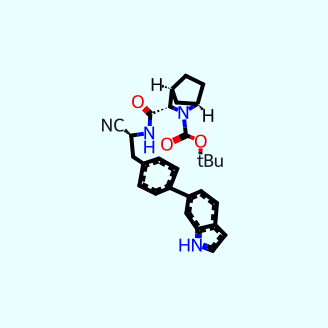 CC(C)(C)OC(=O)N1[C@@H]2CC[C@@H](C2)[C@H]1C(=O)N[C@H](C#N)Cc1ccc(-c2ccc3cc[nH]c3c2)cc1